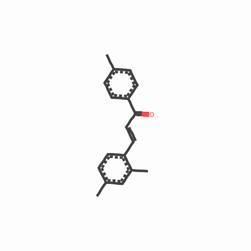 Cc1ccc(C(=O)C=Cc2ccc(C)cc2C)cc1